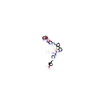 Cn1c(C(=O)Nc2cccc(-c3cccc(/C=C(\F)c4cc5c(cn4)CN(C46CC7CC(CC(C7)C4)C6)O5)c3Cl)c2Cl)nc2c1CCN(CCC13CCC(C(=O)O)(CC1)C3)C2